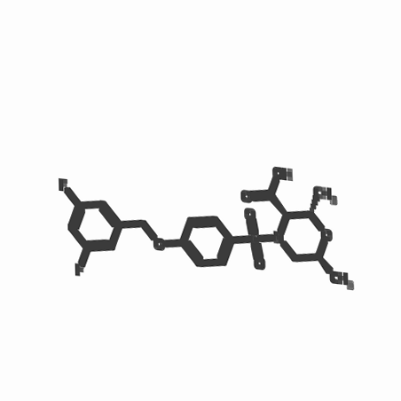 C[C@@H]1O[C@@H](C)CN(S(=O)(=O)c2ccc(OCc3cc(F)cc(F)c3)cc2)[C@H]1C(=O)O